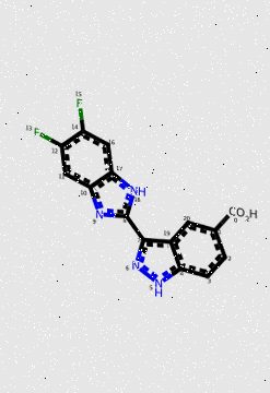 O=C(O)c1ccc2[nH]nc(-c3nc4cc(F)c(F)cc4[nH]3)c2c1